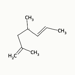 C=C(C)C[C](C)C=CC